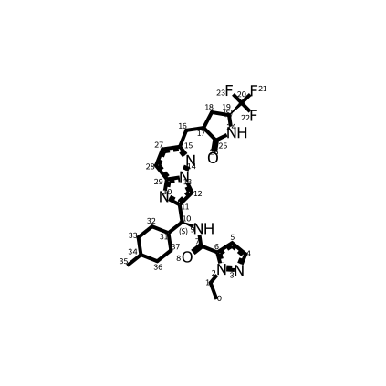 CCn1nccc1C(=O)N[C@H](c1cn2nc(CC3C[C@@H](C(F)(F)F)NC3=O)ccc2n1)C1CCC(C)CC1